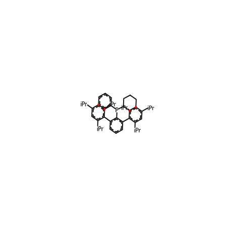 CC(C)c1cc(C(C)C)c(-c2cccc(-c3c(C(C)C)cc(C(C)C)cc3C(C)C)c2P(c2ccccc2)C2CCCCC2)c(C(C)C)c1